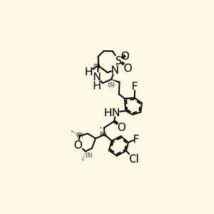 C[C@@H]1CC([C@@H]([CH]C(=O)Nc2cccc(F)c2CC[C@H]2CN[C@@H]3CCCS(=O)(=O)N2C3)c2ccc(Cl)c(F)c2)C[C@H](C)O1